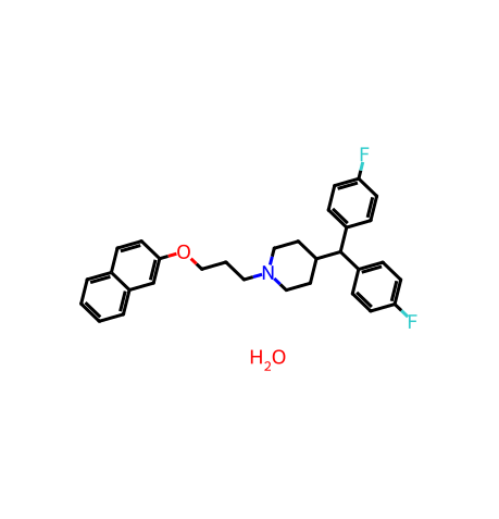 Fc1ccc(C(c2ccc(F)cc2)C2CCN(CCCOc3ccc4ccccc4c3)CC2)cc1.O